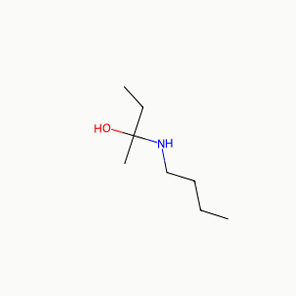 CCCCNC(C)(O)CC